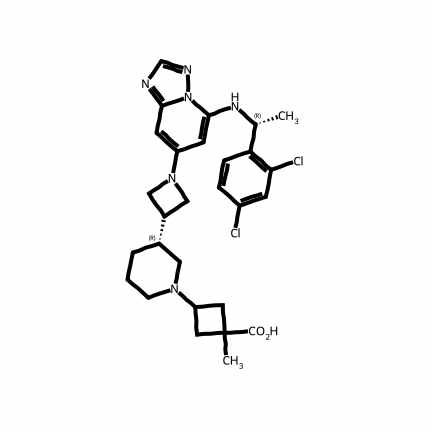 C[C@@H](Nc1cc(N2CC([C@H]3CCCN(C4CC(C)(C(=O)O)C4)C3)C2)cc2ncnn12)c1ccc(Cl)cc1Cl